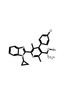 Cc1nc(-c2nc3ccccc3n2C2CC2)c(C)c(-c2ccc(Cl)cc2)c1[C@H](OC(C)(C)C)C(=O)O